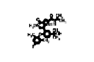 Cc1cc(F)cc(C)c1Oc1ccc(C(C)(C)O)cc1-c1cn(C)c(=O)c2cc(C(=O)NC(C)C)[nH]c12